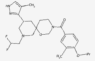 Cc1cc(C(=O)N2CCC3(CC(c4n[nH]cc4C)CN(CC(F)F)C3)OC2)ccc1OC(C)C